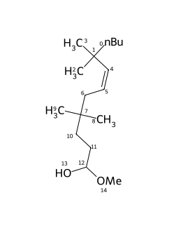 CCCCC(C)(C)/C=C\CC(C)(C)CCC(O)OC